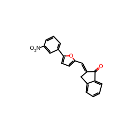 O=C1C(=Cc2ccc(-c3cccc([N+](=O)[O-])c3)o2)Cc2ccccc21